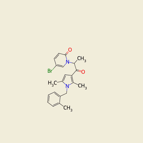 Cc1ccccc1Cn1c(C)cc(C(=O)C(C)n2cc(Br)ccc2=O)c1C